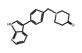 O=C1CCN(Cc2ccc(-c3c[nH]c4ncccc34)cc2)CC1